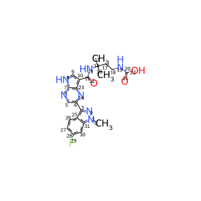 Cn1nc(-c2cnc3[nH]cc(C(=O)NC(C)(C)CCNC(=O)O)c3n2)c2ccc(F)cc21